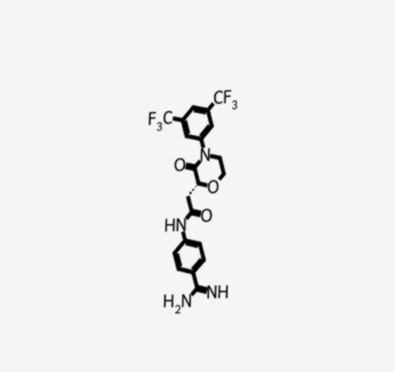 N=C(N)c1ccc(NC(=O)C[C@H]2OCCN(c3cc(C(F)(F)F)cc(C(F)(F)F)c3)C2=O)cc1